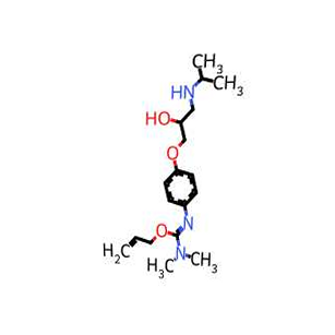 C=CCOC(=Nc1ccc(OCC(O)CNC(C)C)cc1)N(C)C